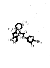 CCc1cc(NC(=O)C(=O)N2C[C@@H](C)CC[C@@]2(C)c2cc3[nH]ncc3s2)cnc1N